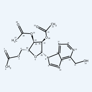 CC(=O)OC[C@H]1O[C@@H](n2cnc3c(CO)ncnc32)[C@H](OC(C)=O)[C@@H]1OC(C)=O